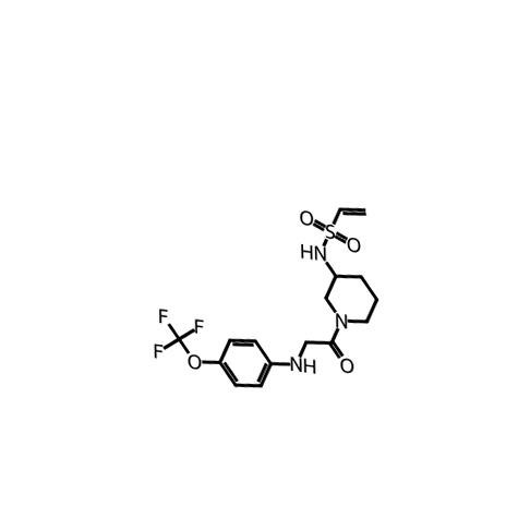 C=CS(=O)(=O)NC1CCCN(C(=O)CNc2ccc(OC(F)(F)F)cc2)C1